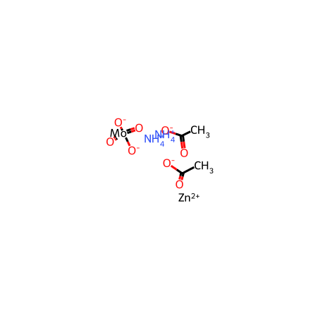 CC(=O)[O-].CC(=O)[O-].[NH4+].[NH4+].[O]=[Mo](=[O])([O-])[O-].[Zn+2]